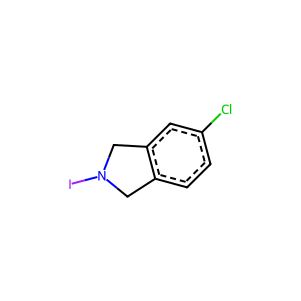 Clc1ccc2c(c1)CN(I)C2